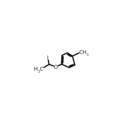 Cc1ccc(OC(C)I)cc1